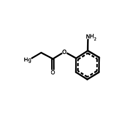 Nc1ccccc1OC(=O)[CH2][Hg]